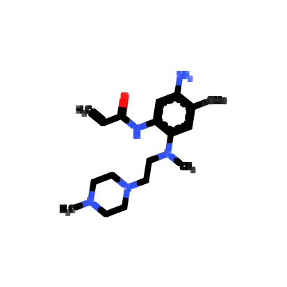 C=CC(=O)Nc1cc(N)c(OC)cc1N(C)CCN1CCN(C)CC1